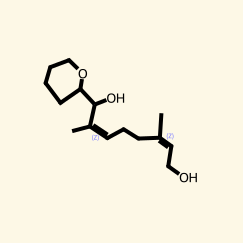 C/C(=C/CO)CC/C=C(/C)C(O)C1CCCCO1